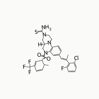 C/C(=C\c1ccc2c(c1)N(S(=O)(=O)C1C=C(C(F)(F)F)C=CC1C)C[C@@H]1CN(C(N)=S)CCN21)c1c(F)cccc1Cl